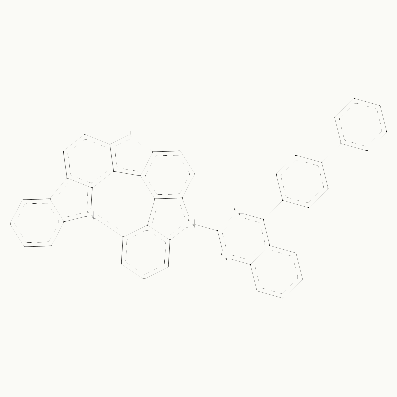 c1ccc(-c2ccc(-c3nc(-n4c5ccc6oc7ccc8c9ccccc9n9c%10cccc4c%10c5c6c7c89)nc4ccccc34)cc2)cc1